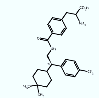 CC1(C)CCC([C@@H](CNC(=O)c2ccc(CC(N)C(=O)O)cc2)c2ccc(C(F)(F)F)cc2)CC1